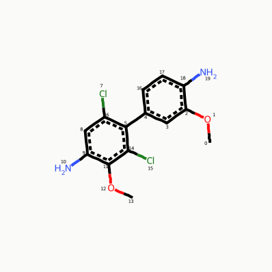 COc1cc(-c2c(Cl)cc(N)c(OC)c2Cl)ccc1N